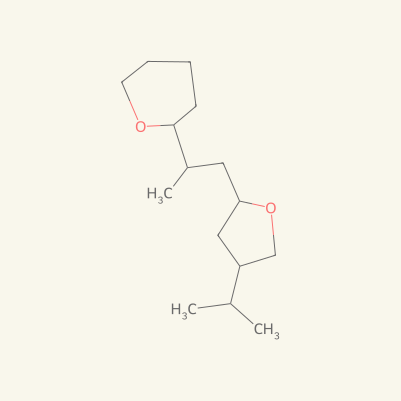 CC(C)C1COC(CC(C)C2CCCCO2)C1